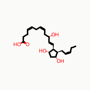 CC/C=C\C[C@@H]1[C@H](/C=C/[C@@H](O)C/C=C\C/C=C\CCC(=O)O)[C@@H](O)C[C@H]1O